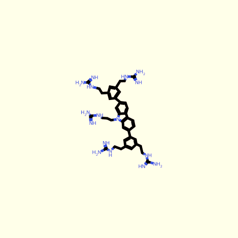 N=C(N)NCCCn1c2cc(-c3cc(CCNC(=N)N)cc(CCNC(=N)N)c3)ccc2c2ccc(-c3cc(CCNC(=N)N)cc(CCNC(=N)N)c3)cc21